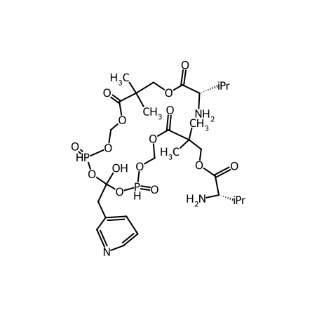 CC(C)[C@H](N)C(=O)OCC(C)(C)C(=O)OCO[PH](=O)OC(O)(Cc1cccnc1)O[PH](=O)OCOC(=O)C(C)(C)COC(=O)[C@@H](N)C(C)C